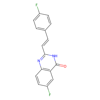 O=c1[nH]c(/C=C/c2ccc(F)cc2)nc2ccc(F)cc12